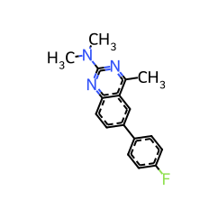 Cc1nc(N(C)C)nc2ccc(-c3ccc(F)cc3)cc12